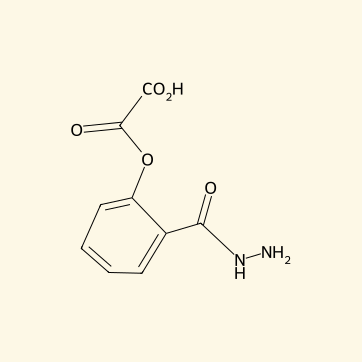 NNC(=O)c1ccccc1OC(=O)C(=O)O